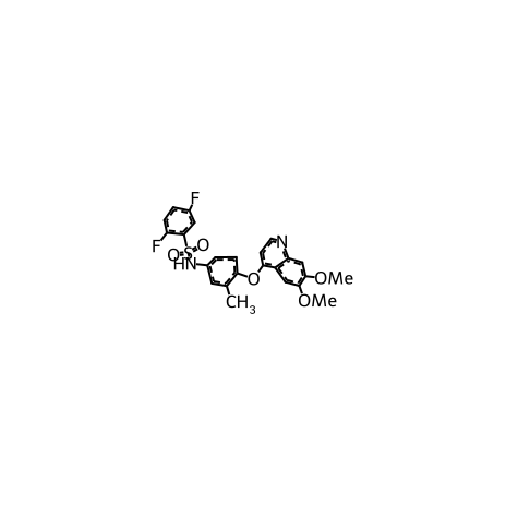 COc1cc2nccc(Oc3ccc(NS(=O)(=O)c4cc(F)ccc4F)cc3C)c2cc1OC